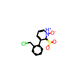 O=S(=O)=C1C(c2ccccc2CCl)=CC=C[NH+]1[O-]